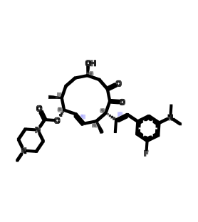 C/C(=C\c1cc(F)cc(N(C)C)c1)[C@H]1C(=O)C(=O)C[C@H](O)CC[C@H](C)[C@@H](OC(=O)N2CCN(C)CC2)/C=C/[C@@H]1C